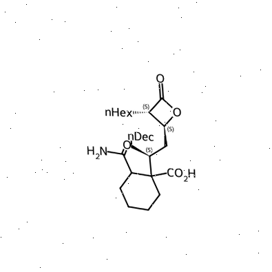 CCCCCCCCCCC[C@@H](C[C@@H]1OC(=O)[C@H]1CCCCCC)C1(C(=O)O)CCCCC1C(N)=O